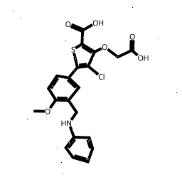 COc1ccc(-c2sc(C(=O)O)c(OCC(=O)O)c2Cl)cc1CNc1ccccc1